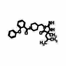 CC(C)CC1(C)NC(=N)N(CC2CCN(C(=O)c3ccccc3Oc3ccccc3)CC2)C1=O